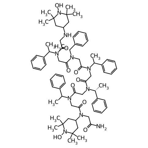 CC(c1ccccc1)N(CC(=O)N(CC(N)=O)C1CC(C)(C)N(O)C(C)(C)C1)C(=O)CN(C(=O)CN(C(=O)CN(C(=O)CN(C(=O)CNC1CC(C)(C)N(O)C(C)(C)C1)C(C)c1ccccc1)[C@H](C)c1ccccc1)C(C)c1ccccc1)[C@H](C)c1ccccc1